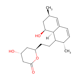 C[C@H]1C=C2C=C[C@H](C)C(CC[C@@H]3C[C@@H](O)CC(=O)O3)[C@H]2[C@@H](O)C1